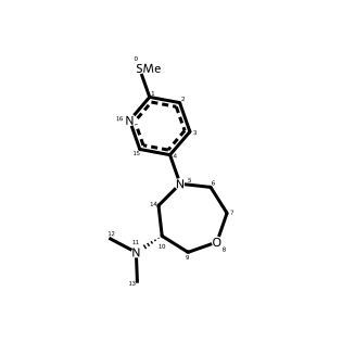 CSc1ccc(N2CCOC[C@H](N(C)C)C2)cn1